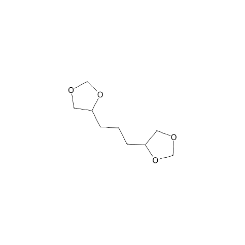 C(CC1COCO1)CC1COCO1